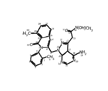 Cc1ccccc1-n1c(CN2N=C(CC(=O)N(C)O)C3C(N)=NC=NC32)cc2cccc(C)c2c1=O